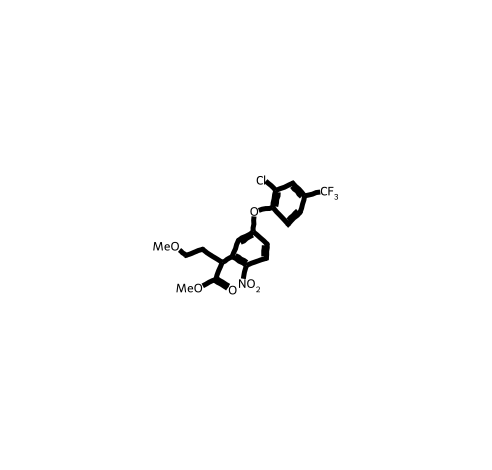 COCCC(C(=O)OC)c1cc(Oc2ccc(C(F)(F)F)cc2Cl)ccc1[N+](=O)[O-]